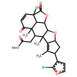 COC(=O)CC1C2(C)C3=C(C)C(c4ccoc4Br)CC3OC2C2OC(=O)C3(C)C=CC(=O)C1(C)C23